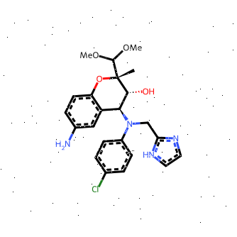 COC(OC)[C@@]1(C)Oc2ccc(N)cc2[C@H](N(Cc2ncc[nH]2)c2ccc(Cl)cc2)[C@H]1O